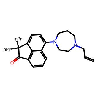 C=CCN1CCCN(c2ccc3c4c(cccc24)C(=O)C3(CCC)CCC)CC1